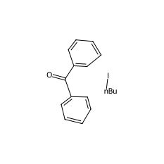 CCCCI.O=C(c1ccccc1)c1ccccc1